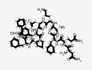 C=C(C)C[C@H](NC(=O)[C@H](CCCN)NC(=O)[C@@H](NC(=O)[C@H](Cc1ccccc1)NC(=O)[C@H](CCC(N)=O)NC(=O)[C@@H](N)CC(N)=O)C(C)C)C(=O)N[C@H](Cc1ccccc1)C(=O)N1CCC[C@H]1C(=O)N[C@@H](Cc1ccccc1)C(=O)N[C@@H](C=O)Cc1ccccc1